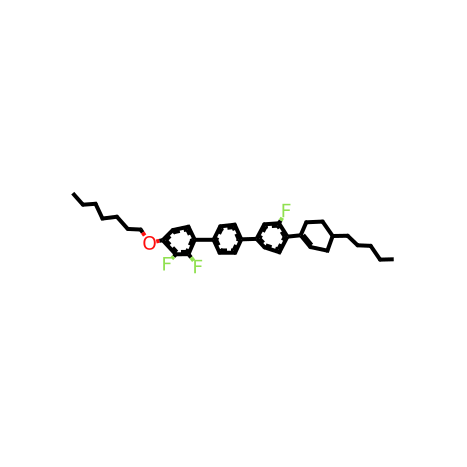 CCCCCCCOc1ccc(-c2ccc(-c3ccc(C4=CCC(CCCCC)CC4)c(F)c3)cc2)c(F)c1F